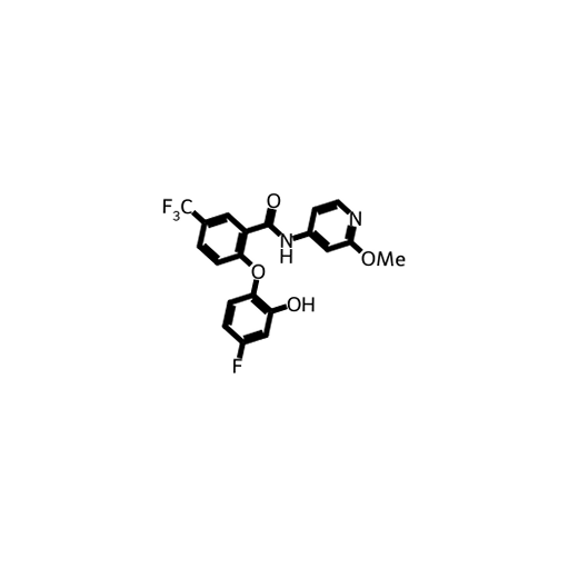 COc1cc(NC(=O)c2cc(C(F)(F)F)ccc2Oc2ccc(F)cc2O)ccn1